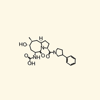 C[C@H]1C[C@H]2CC[C@@H](C(=O)N3CCC(c4ccccc4)C3)N2C(=O)[C@@H](NC(=O)O)C[C@@H]1O